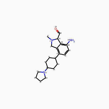 CN1Cc2c(C3CCC(N4CCCC4)CC3)ccc(N)c2C1C=O